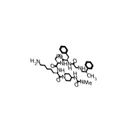 CNC(=O)NC1CCN(C(=O)[C@@H](CCCCCN)NC(=O)[C@@H](CC(C)C)NC(=O)[C@@H](Cc2ccccc2)NC(=O)CNC[C@H](C)c2ccccc2)CC1